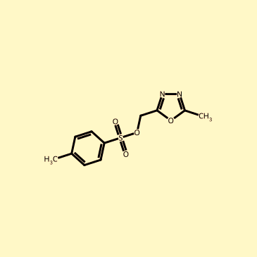 Cc1ccc(S(=O)(=O)OCc2nnc(C)o2)cc1